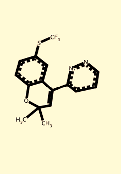 CC1(C)C=C(c2cccnn2)c2cc(SC(F)(F)F)ccc2O1